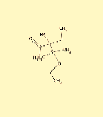 CCO[Si](C)(C)[C@](S)(CC)C(C)=O